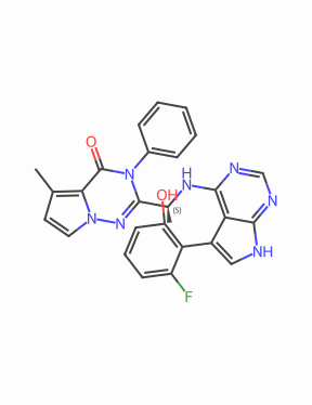 Cc1ccn2nc([C@H](C)Nc3ncnc4[nH]cc(-c5c(O)cccc5F)c34)n(-c3ccccc3)c(=O)c12